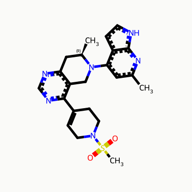 Cc1cc(N2Cc3c(ncnc3C3=CCN(S(C)(=O)=O)CC3)C[C@H]2C)c2cc[nH]c2n1